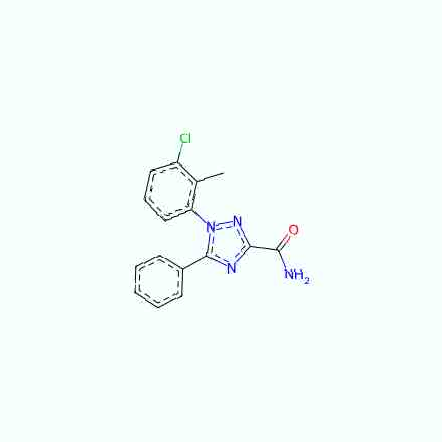 Cc1c(Cl)cccc1-n1nc(C(N)=O)nc1-c1ccccc1